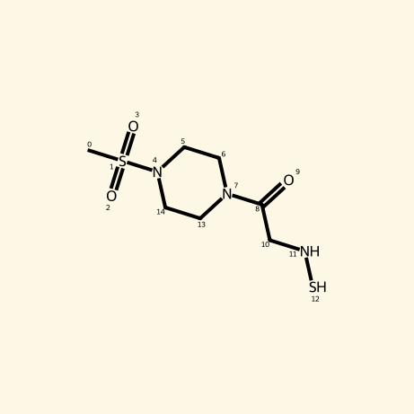 CS(=O)(=O)N1CCN(C(=O)CNS)CC1